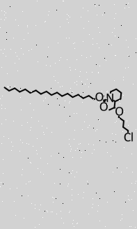 CCCCCCCCCCCCCCCCCCOC(=O)N1CCCCC1C(C)OCCCCCl